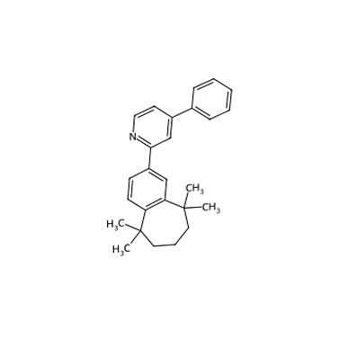 CC1(C)CCCC(C)(C)c2cc(-c3cc(-c4ccccc4)ccn3)ccc21